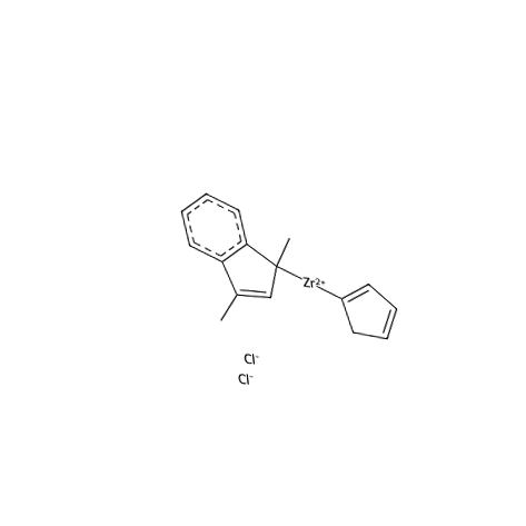 CC1=C[C](C)([Zr+2][C]2=CC=CC2)c2ccccc21.[Cl-].[Cl-]